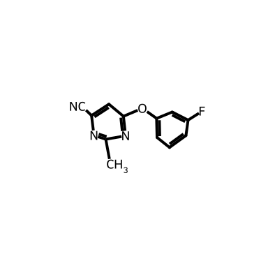 Cc1nc(C#N)cc(Oc2cccc(F)c2)n1